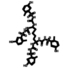 Cc1ccc(O)cc1S(=O)(=O)NC(=O)NC(CCCCC(C)(NC(=O)NS(=O)(=O)c1cc(O)ccc1C)NC(=O)NS(=O)(=O)c1cc(O)ccc1C)NC(=O)NS(=O)(=O)c1cc(O)ccc1C